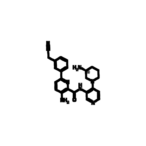 N#CCc1cccc(-c2ccc(N)c(C(=O)Nc3cnccc3N3CCC[C@H](N)C3)n2)c1